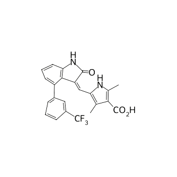 Cc1[nH]c(C=C2C(=O)Nc3cccc(-c4cccc(C(F)(F)F)c4)c32)c(C)c1C(=O)O